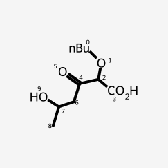 CCCCOC(C(=O)O)C(=O)CC(C)O